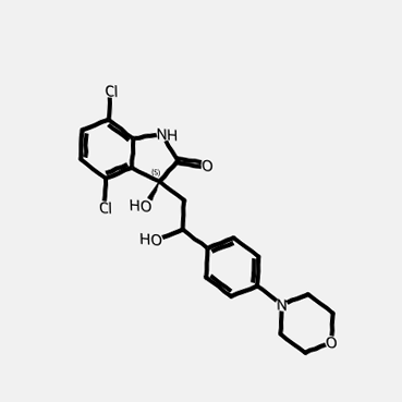 O=C1Nc2c(Cl)ccc(Cl)c2[C@@]1(O)CC(O)c1ccc(N2CCOCC2)cc1